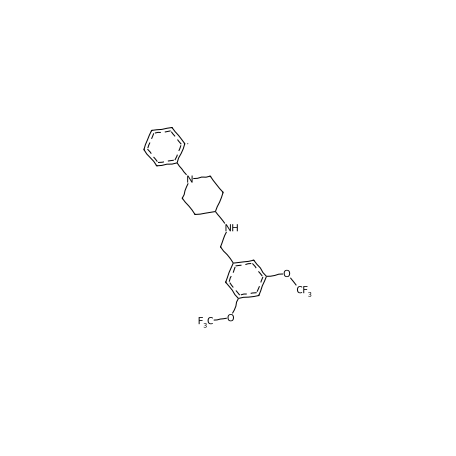 FC(F)(F)Oc1cc(CNC2CCN(c3[c]cccc3)CC2)cc(OC(F)(F)F)c1